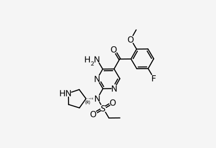 CCS(=O)(=O)N(c1ncc(C(=O)c2cc(F)ccc2OC)c(N)n1)[C@@H]1CCNC1